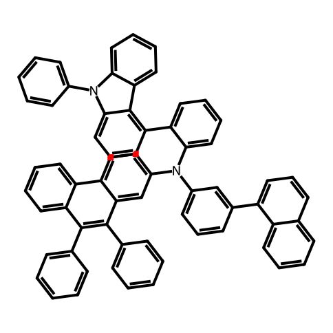 c1ccc(-c2c(-c3ccccc3)c3cc(N(c4cccc(-c5cccc6ccccc56)c4)c4ccccc4-c4cccc5c4c4ccccc4n5-c4ccccc4)ccc3c3ccccc23)cc1